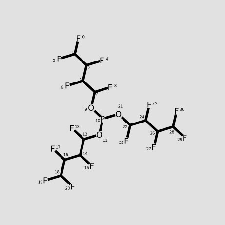 FC(F)C(F)C(F)C(F)OP(OC(F)C(F)C(F)C(F)F)OC(F)C(F)C(F)C(F)F